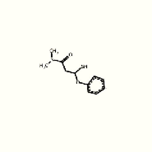 CN(C)C(=O)CC(S)Oc1cc[c]cc1